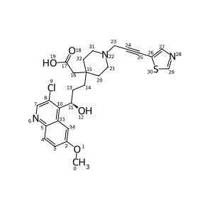 COc1ccc2ncc(Cl)c([C@H](O)CCC3(CC(=O)O)CCN(CC#Cc4cncs4)CC3)c2c1